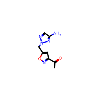 CC(=O)c1cc(Cn2ncc(N)n2)on1